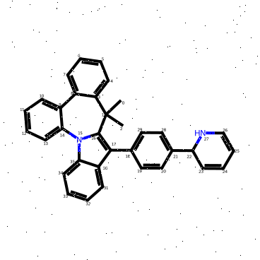 CC1(C)c2ccccc2-c2ccccc2-n2c1c(-c1ccc(C3C=CC=CN3)cc1)c1ccccc12